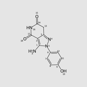 Nc1c2c(nn1-c1ccc(O)cc1)CC(=O)NC2=O